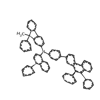 CC1(c2ccccc2)c2ccccc2-c2ccc(N(c3ccc(-c4ccc5c(c4)c(-c4ccccc4)c(-c4ccccc4)c4ccccc45)cc3)c3ccc(-c4ccccc4)c4ccccc34)cc21